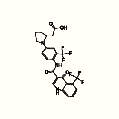 O=C(O)CC1CCCN1c1ccc(NC(=O)c2c[nH]c3cccc(C(F)(F)F)c3c2=O)c(C(F)(F)F)c1